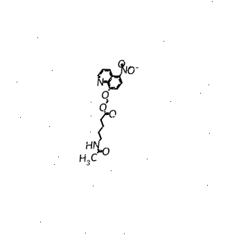 CC(=O)NCCCCC(=O)OCOc1ccc([N+](=O)[O-])c2cccnc12